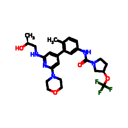 Cc1ccc(NC(=O)N2CC[C@@H](OC(F)(F)F)C2)cc1-c1cc(NC[C@@H](C)O)nc(N2CCOCC2)c1